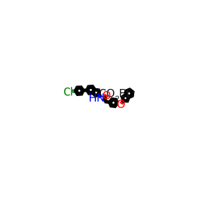 CCOC(=O)C1(NC(=O)Cc2ccc(OC3Cc4ccccc4C3)cc2)Cc2ccc(-c3ccc(Cl)cc3)cc2C1